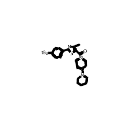 Cc1nc(-c2ccc(C(C)(C)C)cc2)sc1C(=O)N1CCC(N2CCCCC2)CC1